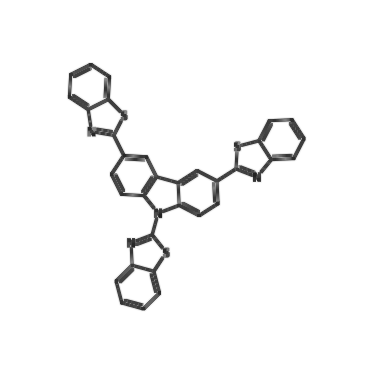 c1ccc2sc(-c3ccc4c(c3)c3cc(-c5nc6ccccc6s5)ccc3n4-c3nc4ccccc4s3)nc2c1